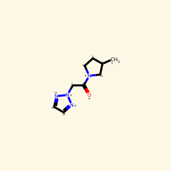 CC1CCN(C(=O)Cn2nccn2)C1